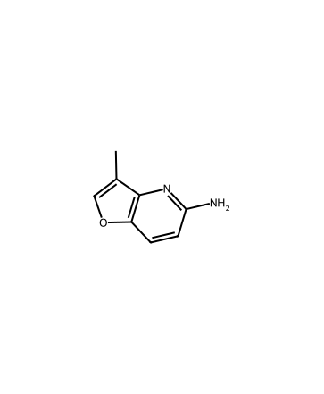 Cc1coc2ccc(N)nc12